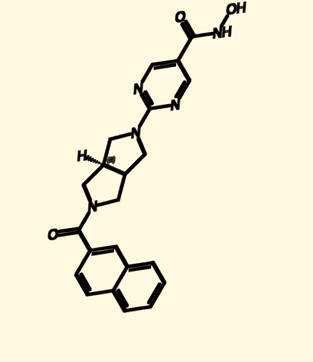 O=C(NO)c1cnc(N2CC3CN(C(=O)c4ccc5ccccc5c4)C[C@H]3C2)nc1